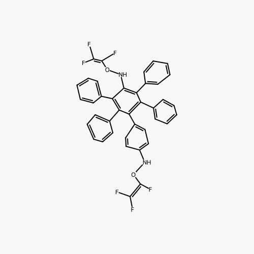 FC(F)=C(F)ONc1ccc(-c2c(-c3ccccc3)c(-c3ccccc3)c(NOC(F)=C(F)F)c(-c3ccccc3)c2-c2ccccc2)cc1